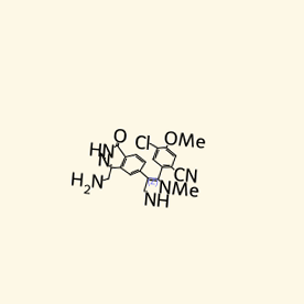 CN/C(=C(\C=N)c1ccc2c(=O)[nH]nc(CN)c2c1)c1cc(Cl)c(OC)cc1C#N